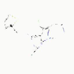 C[C@H](N)Cc1c(F)c2c(NCc3cccs3)nc(Cl)nc2n1C